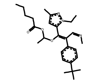 CCCCC(=O)OC(C)O/C(=C(/C=N\C)c1ccc(C(C)(C)C)cc1)c1cc(C)nn1CC